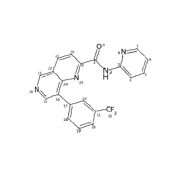 O=C(Nc1ccccn1)c1ccc2cncc(-c3cccc(C(F)(F)F)c3)c2n1